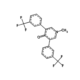 Cn1cc(-c2cccc(C(F)(F)F)c2)c(=O)c(-c2cccc(C(F)(F)F)c2)c1